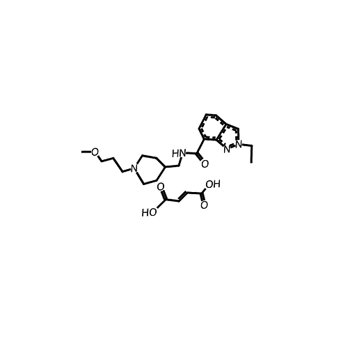 CCn1cc2cccc(C(=O)NCC3CCN(CCCOC)CC3)c2n1.O=C(O)C=CC(=O)O